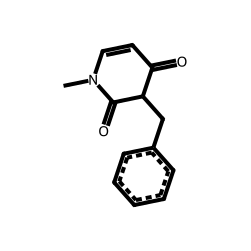 CN1C=CC(=O)C(Cc2ccccc2)C1=O